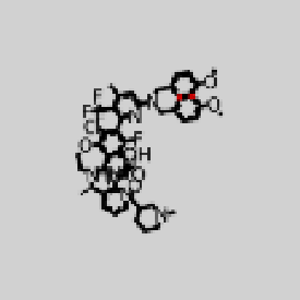 COc1ccc(CN(Cc2ccc(OC)cc2)c2cc(C)c(C(F)(F)F)c(-c3c(Cl)c4c5c(nc(OCC6CCCN(C)C6)nc5c3F)N([C@H](C)c3cccnc3NC(=O)O)CCO4)n2)cc1